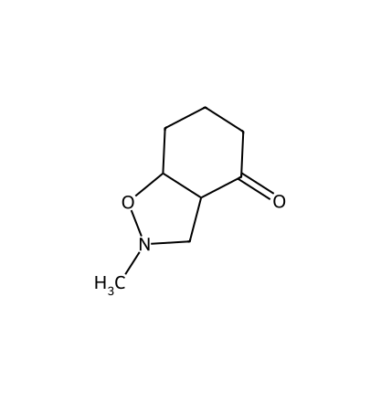 CN1CC2C(=O)CCCC2O1